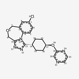 Clc1ccc2c(c1)COCc1nnc([C@H]3CC[C@H](Oc4cnccn4)CC3)n1-2